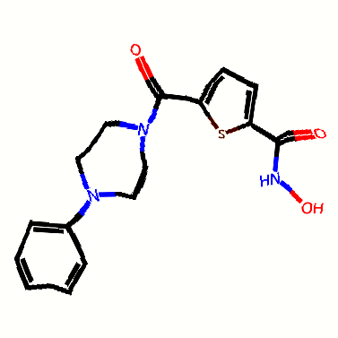 O=C(NO)c1ccc(C(=O)N2CCN(c3ccccc3)CC2)s1